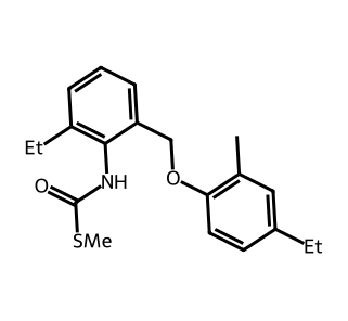 CCc1ccc(OCc2cccc(CC)c2NC(=O)SC)c(C)c1